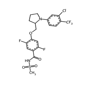 CS(=O)(=O)NC(=O)c1cc(F)c(OCC2CCCN2c2ccc(C(F)(F)F)c(Cl)c2)cc1F